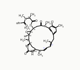 CCCC(=O)N(C)[C@@H](C)C(=O)O[C@H]1CC(=O)N(C)c2cc(cc(C)c2Cl)C/C(C)=C/C=C/[C@@H](C)[C@@]2(O)C[C@H](OC(=O)N2)[C@@H](C)[C@@H]2O[C@@]12C